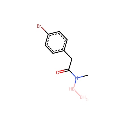 BBN(C)C(=O)Cc1ccc(Br)cc1